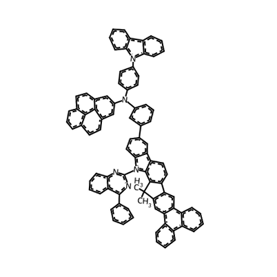 CC1(C)c2cc3c4ccccc4c4ccccc4c3cc2-c2ccc3c4cc(-c5cccc(N(c6ccc(-n7c8ccccc8c8ccccc87)cc6)c6cc7ccc8cccc9ccc(c6)c7c89)c5)ccc4n(-c4nc(-c5ccccc5)c5ccccc5n4)c3c21